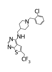 FC(F)(F)Cc1cc2c(NCC3CCN(Cc4ccccc4Cl)CC3)ncnc2s1